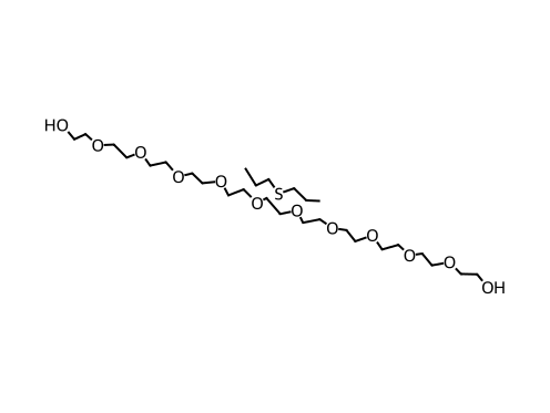 CCCSCCC.OCCOCCOCCOCCOCCOCCOCCOCCOCCOCCOCCO